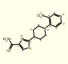 NC(=O)c1csc(C2CCN(c3ccncc3[N+](=O)[O-])CC2)n1